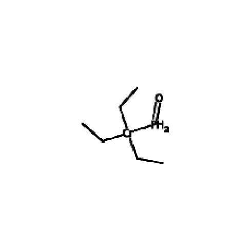 C[CH2][Cr]([CH2]C)([CH2]C)[PH2]=O